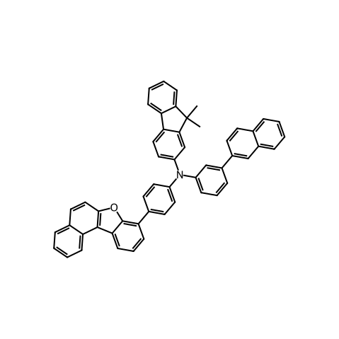 CC1(C)c2ccccc2-c2ccc(N(c3ccc(-c4cccc5c4oc4ccc6ccccc6c45)cc3)c3cccc(-c4ccc5ccccc5c4)c3)cc21